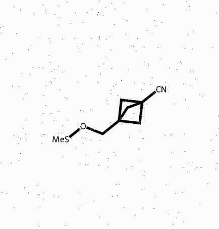 CSOCC12CC(C#N)(C1)C2